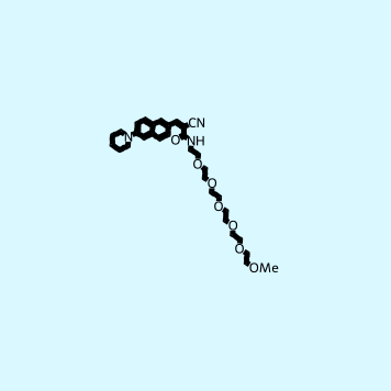 COCCOCCOCCOCCOCCOCCNC(=O)C(C#N)=Cc1ccc2cc(N3CCCCC3)ccc2c1